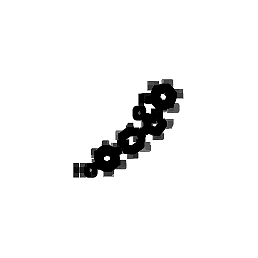 O=C1C(N2CCN(c3ccc(O)cc3)CC2)CCN1c1ccccc1F